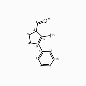 O=CC1CCC(c2ccccc2)=C1I